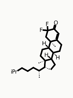 CC(C)CCC[C@@H](C)[C@H]1CC[C@H]2[C@@H]3CCC4=CC(=O)C(F)(F)C[C@]4(C)[C@H]3CC[C@]12C